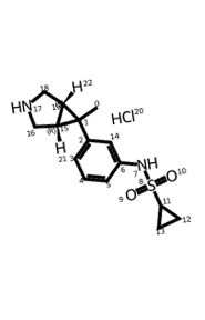 CC1(c2cccc(NS(=O)(=O)C3CC3)c2)[C@@H]2CNC[C@@H]21.Cl